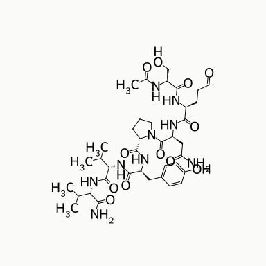 CC(=O)N[C@@H](CO)C(=O)N[C@@H](CC[C]=O)C(=O)N[C@@H](CC(N)=O)C(=O)N1CCC[C@H]1C(=O)N[C@@H](Cc1ccc(O)cc1)C(=O)N[C@H](C(=O)N[C@H](C(N)=O)C(C)C)C(C)C